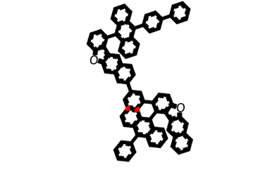 c1ccc(-c2ccc(-c3c4ccccc4c(-c4cccc5oc6cc7cc(-c8cccc(-c9ccc%10oc%11cc%12ccccc%12cc%11c%10c9-c9c%10ccccc%10c(-c%10ccccc%10)c%10ccccc9%10)c8)ccc7cc6c45)c4ccccc34)cc2)cc1